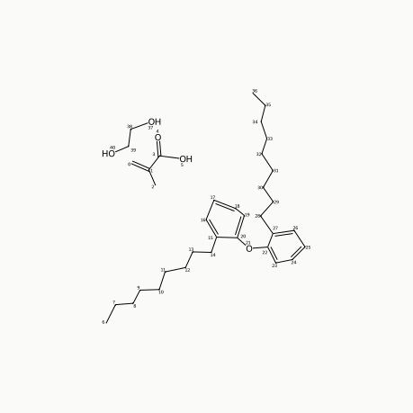 C=C(C)C(=O)O.CCCCCCCCCc1ccccc1Oc1ccccc1CCCCCCCCC.OCCO